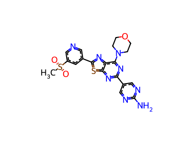 CS(=O)(=O)c1cncc(-c2nc3c(N4CCOCC4)nc(-c4cnc(N)nc4)nc3s2)c1